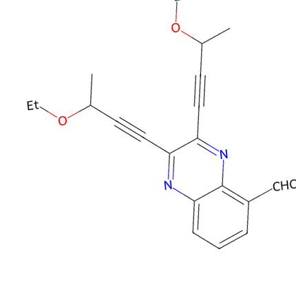 CCOC(C)C#Cc1nc2cccc(C=O)c2nc1C#CC(C)OCC